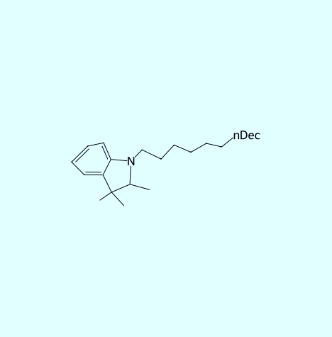 CCCCCCCCCCCCCCCCN1c2ccccc2C(C)(C)C1C